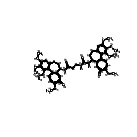 COc1cc2c(c(OC)c1OC)-c1ccc(SC)c(=O)cc1C(NC(=O)NCCC(=O)N[C@H]1CCc3cc(OC)c(OC)c(OC)c3-c3ccc(SC)c(=O)cc31)CC2